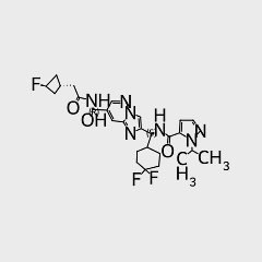 CC(C)n1nccc1C(=O)N[C@H](c1cn2ncc([C@@H](O)NC(=O)C[C@H]3C[C@H](F)C3)cc2n1)C1CCC(F)(F)CC1